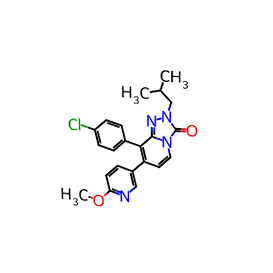 COc1ccc(-c2ccn3c(=O)n(CC(C)C)nc3c2-c2ccc(Cl)cc2)cn1